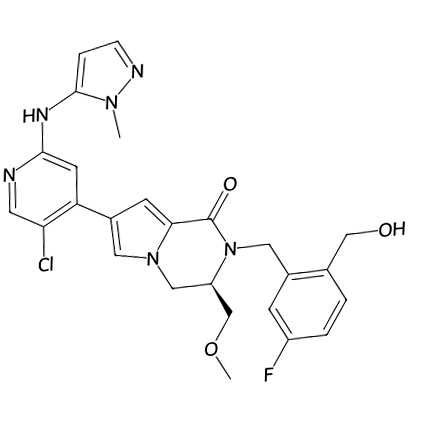 COC[C@H]1Cn2cc(-c3cc(Nc4ccnn4C)ncc3Cl)cc2C(=O)N1Cc1cc(F)ccc1CO